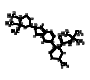 C[C@H]1CC=C(c2ccc3nn(C4CCN(C)C(C)(C)C4)cc3c2)N(C(=O)OC(C)(C)C)C1